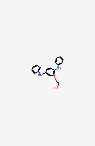 OCCOc1cc(Nc2ccccc2)ccc1Nc1ccccc1